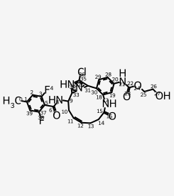 Cc1cc(F)c(C(=O)NC2CC=CCCC(=O)Nc3cc(NC(=O)OCCO)ccc3-c3nc2[nH]c3Cl)c(F)c1